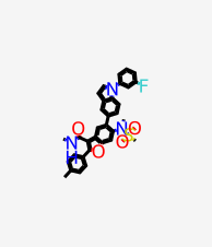 CNC(=O)c1c(-c2ccc(C)cc2)oc2cc(N(C)S(C)(=O)=O)c(-c3ccc4c(ccn4-c4cccc(F)c4)c3)cc12